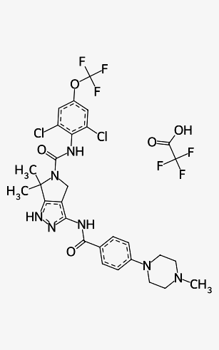 CN1CCN(c2ccc(C(=O)Nc3n[nH]c4c3CN(C(=O)Nc3c(Cl)cc(OC(F)(F)F)cc3Cl)C4(C)C)cc2)CC1.O=C(O)C(F)(F)F